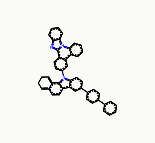 C1=c2ccc3c4cc(-c5ccc(-c6ccccc6)cc5)ccc4n(-c4ccc5c(c4)c4ccccc4n4c6ccccc6nc54)c3c2=CCC1